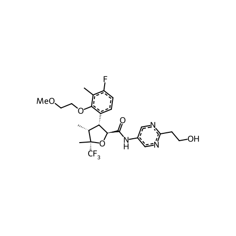 COCCOc1c([C@@H]2[C@@H](C(=O)Nc3cnc(CCO)nc3)O[C@](C)(C(F)(F)F)[C@@H]2C)ccc(F)c1C